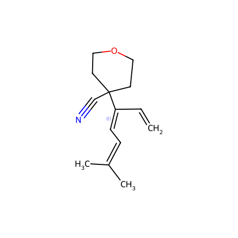 C=C/C(=C\C=C(C)C)C1(C#N)CCOCC1